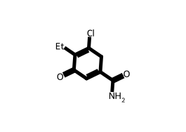 CCC1=C(Cl)CC(C(N)=O)=CC1=O